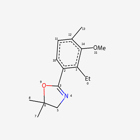 CCc1c(C2=NCC(C)(C)O2)ccc(C)c1OC